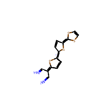 N=CC(C=N)=c1cc/c(=c2/ccc(=C3SC=CS3)s2)s1